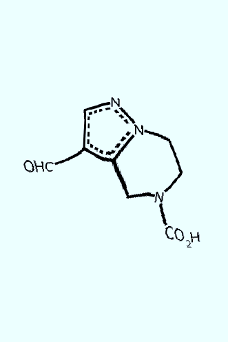 O=Cc1cnn2c1CN(C(=O)O)CC2